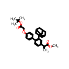 C=C(C(=O)OC)c1ccc(-c2ccc(OCC(=O)OC(C)(C)C)cc2)c(C23CC4CC(CC(C4)C2)C3)c1